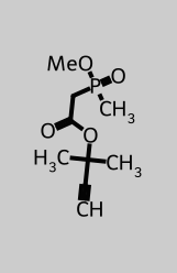 C#CC(C)(C)OC(=O)CP(C)(=O)OC